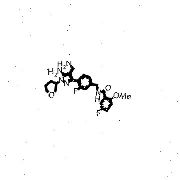 COc1ccc(F)cc1C(=O)NCc1ccc(-c2nn(C3CCCOC3)c(N)c2CN)c(F)c1